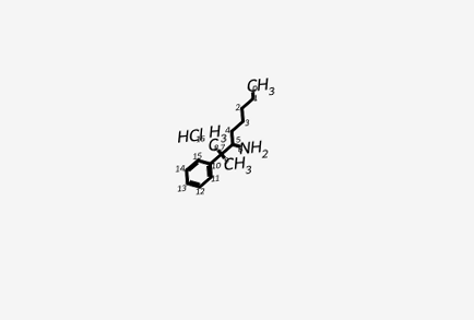 CCCCCC(N)C(C)(C)c1ccccc1.Cl